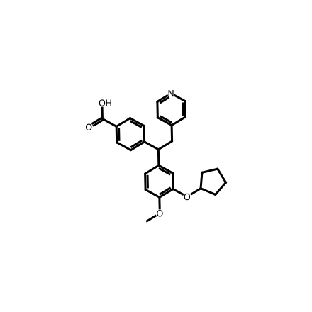 COc1ccc(C(Cc2ccncc2)c2ccc(C(=O)O)cc2)cc1OC1CCCC1